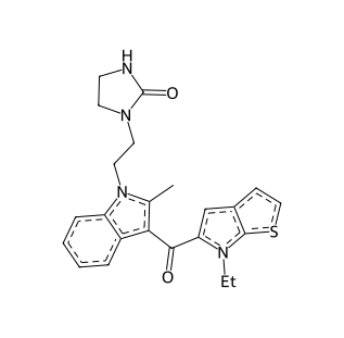 CCn1c(C(=O)c2c(C)n(CCN3CCNC3=O)c3ccccc23)cc2ccsc21